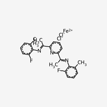 CC(=Nc1c(C)cccc1F)c1cccc(C(C)=Nc2c(C)cccc2F)n1.[Cl-].[Cl-].[Fe+2]